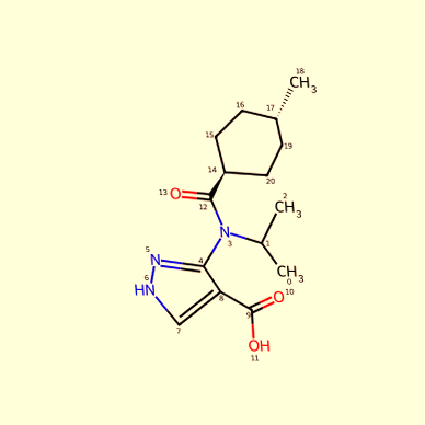 CC(C)N(c1n[nH]cc1C(=O)O)C(=O)[C@H]1CC[C@H](C)CC1